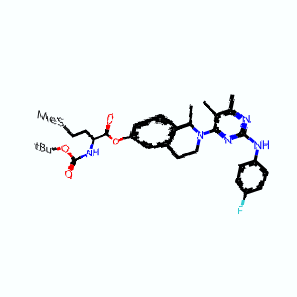 CSCCC(NC(=O)OC(C)(C)C)C(=O)Oc1ccc2c(c1)CCN(c1nc(Nc3ccc(F)cc3)nc(C)c1C)C2C